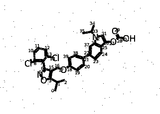 CC(C)c1onc(-c2c(Cl)cccc2Cl)c1COc1ccc(-c2ccc3c(OC(=O)O)cn(C(C)C)c3c2)cc1